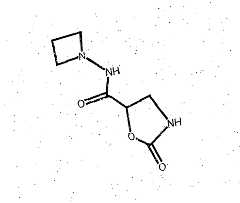 O=C1NCC(C(=O)NN2CCC2)O1